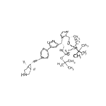 C[C@H](O[Si](C)(C)C(C)(C)C)c1nccn1[C@H](CNC(=O)OC(C)(C)C)c1cc(-c2ccc(C#C[C@@H]3[C@H]4CNC[C@@H]34)cc2)on1